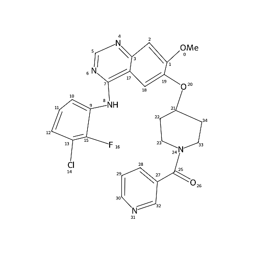 COc1cc2ncnc(Nc3cccc(Cl)c3F)c2cc1OC1CCN(C(=O)c2cccnc2)CC1